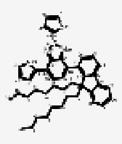 CCCCCCCCC1(CCCCCCCC)c2ccccc2-c2cccc(-c3ccc(-c4cccs4)c4c3=N[SH](c3cccs3)N=4)c21